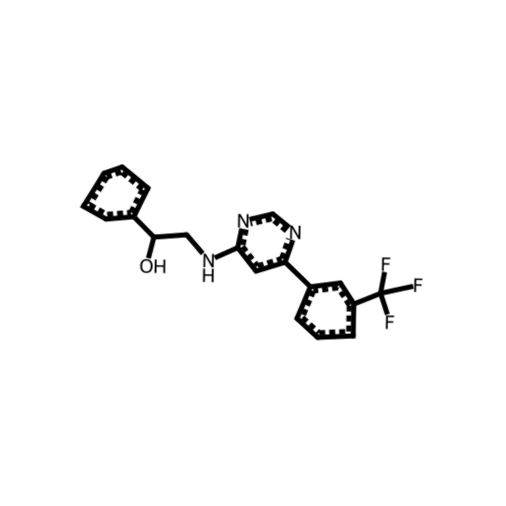 OC(CNc1cc(-c2cccc(C(F)(F)F)c2)ncn1)c1ccccc1